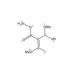 CCCC(OC)C(C(=O)O[SiH3])=C(C)OC